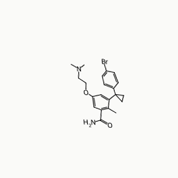 Cc1c(C(N)=O)cc(OCCN(C)C)cc1C1(c2ccc(Br)cc2)CC1